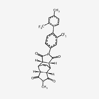 Cc1ccc(-c2ccc(N3C(=O)[C@@H]4C5C=CC([C@H]6C(=O)N(C)C(=O)[C@@H]56)[C@@H]4C3=O)cc2C(F)(F)F)c(C(F)(F)F)c1